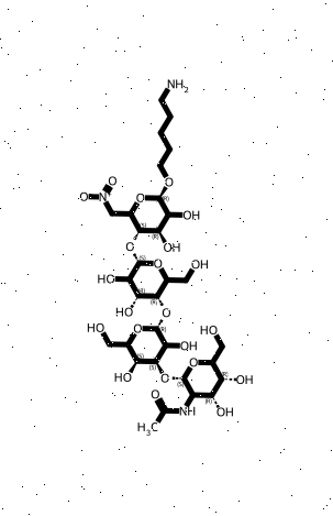 CC(=O)NC1[C@H](O[C@@H]2C(O)[C@@H](O[C@H]3C(CO)O[C@@H](O[C@@H]4C(C[N+](=O)[O-])O[C@@H](OCCCCCN)C(O)[C@H]4O)C(O)[C@H]3O)OC(CO)[C@@H]2O)OC(CO)[C@H](O)[C@@H]1O